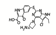 CCc1[nH]c2nc(Sc3ccc4[nH]cc(C(=O)O)c(=O)c4c3)nc(N3CC[C@H](N)C3)c2c1Cl